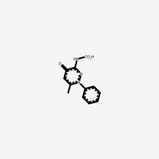 Cc1cc(=O)c(NC(=O)O)nn1-c1ccccc1